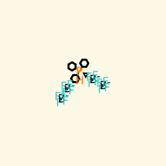 F[B-](F)(F)F.F[B-](F)(F)F.F[B-](F)(F)F.F[B-](F)(F)F.c1ccc([PH](c2ccccc2)(c2ccccc2)C2CC2)cc1